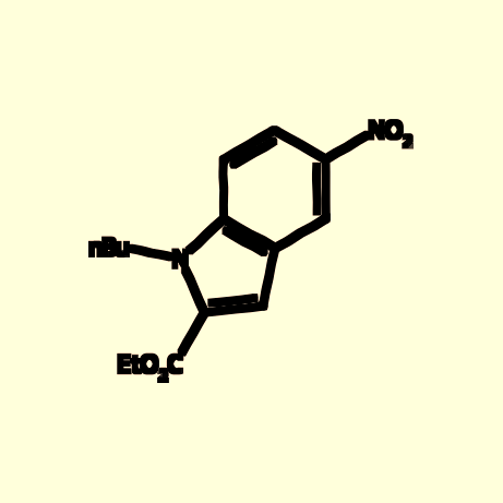 CCCCn1c(C(=O)OCC)cc2cc([N+](=O)[O-])ccc21